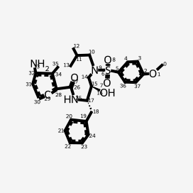 COc1ccc(S(=O)(=O)N(CC(C)C)C[C@@H](O)[C@H](Cc2ccccc2)NC(=O)c2cccc(N)c2C)cc1